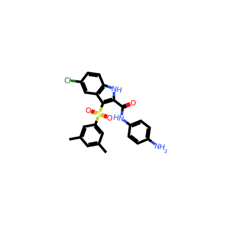 Cc1cc(C)cc(S(=O)(=O)c2c(C(=O)Nc3ccc(N)cc3)[nH]c3ccc(Cl)cc23)c1